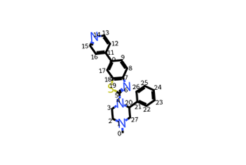 CN1CCN(c2nc3ccc(-c4ccncc4)cc3s2)C(c2ccccc2)C1